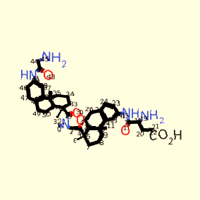 CN(CC(=O)[C@@]1(C)CCCC2(C)c3cc(NC(=O)C(N)CCC(=O)O)ccc3CCC21)C(=O)[C@@]1(C)CCCC2(C)c3cc(NC(=O)CN)ccc3CCC21